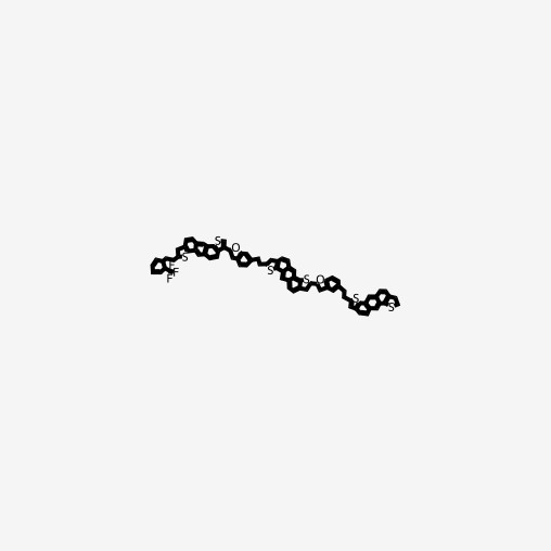 FC(F)(F)C1C=CC=CC1CCC1Cc2ccc3cc4c(ccc5c(C6Cc7ccc(CCC8Cc9ccc%10cc%11c%12c(ccc%11cc%10c9S8)CC(C8Cc9cc(CCc%10cc%11ccc%13cc%14c%15c(ccc%14cc%13c%11s%10)CCS%15)ccc9O8)S%12)cc7O6)csc54)cc3c2S1